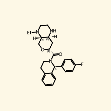 CCN1CCN[C@H]2C[C@H](C(=O)N3CCc4ccccc4[C@@H]3c3ccc(F)cc3)OC[C@@H]21